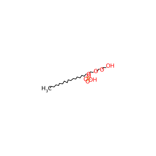 CCCCCCCCCCCCCCCCC(COCCOCCOCCO)OS(=O)(=O)O